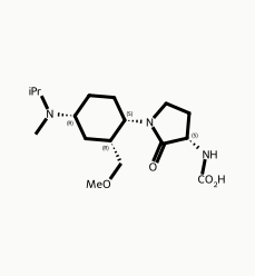 COC[C@@H]1C[C@H](N(C)C(C)C)CC[C@@H]1N1CC[C@H](NC(=O)O)C1=O